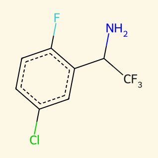 NC(c1cc(Cl)ccc1F)C(F)(F)F